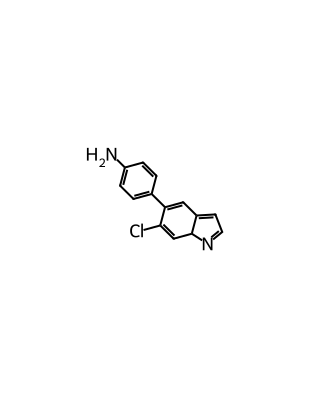 Nc1ccc(C2=CC3=CC=NC3C=C2Cl)cc1